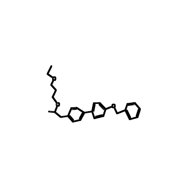 CCOCCCOC(C)Cc1ccc(-c2ccc(OCc3ccccc3)cc2)cc1